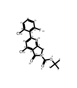 CC(C)(C)OC(=O)N1Cc2nc(-c3c(F)cccc3Cl)cc(Cl)c2C1=O